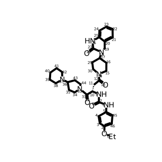 CCOc1ccc(NC(=O)N[C@@H](CC(=O)N2CCC(N3Cc4ccccc4NC3=O)CC2)C(=O)N2CCC(N3CCCCC3)CC2)cc1